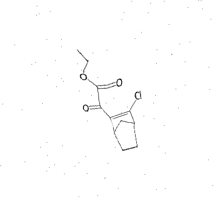 CCOC(=O)C(=O)C1=C(Cl)C2CCC1C2